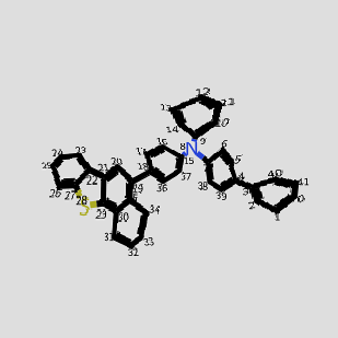 c1ccc(-c2ccc(N(c3ccccc3)c3ccc(-c4cc5c6ccccc6sc5c5ccccc45)cc3)cc2)cc1